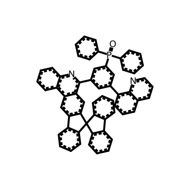 O=P(c1ccccc1)(c1ccccc1)c1cc(-c2nc3ccccc3c3cc4c(cc23)C2(c3ccccc3-c3ccccc32)c2ccccc2-4)cc(-c2cccc3cccnc23)c1